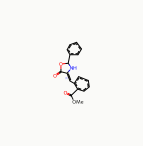 COC(=O)c1ccccc1/C=C1\NC(c2ccccc2)OC1=O